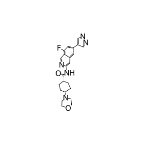 Cn1cc(-c2cc(F)c3cnc(NC(=O)[C@H]4CC[C@H](N5CCOCC5)CC4)cc3c2)cn1